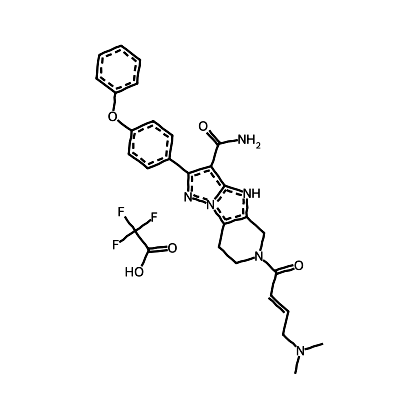 CN(C)CC=CC(=O)N1CCc2c([nH]c3c(C(N)=O)c(-c4ccc(Oc5ccccc5)cc4)nn23)C1.O=C(O)C(F)(F)F